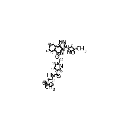 Cc1cc(-c2nnc3c4ccccc4c(OCc4ccc(C(=O)NCCS(C)(=O)=O)cn4)nn23)no1